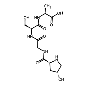 C[C@H](NC(=O)[C@H](CO)NC(=O)CNC(=O)[C@@H]1C[C@@H](O)CN1)C(=O)O